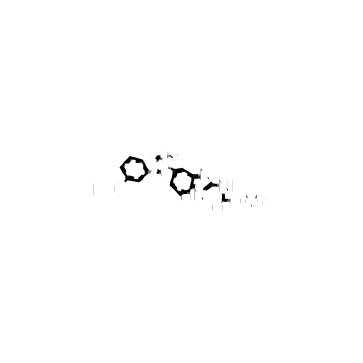 COC(=O)Nc1nc2cc(S(=O)(=O)Oc3cccc(C)c3)ccc2[nH]1